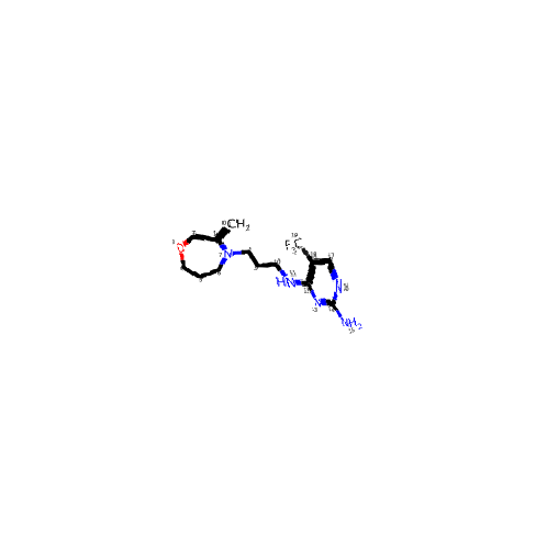 C=C1COCCCN1CCCNc1nc(N)ncc1C(F)(F)F